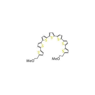 COCCc1ccc(-c2ccc(-c3ccc(-c4ccc(-c5ccc(-c6ccc(-c7ccc(CCOC)s7)s6)s5)s4)s3)s2)s1